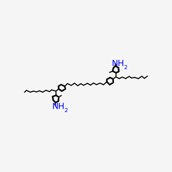 CCCCCCCCCCC(c1ccc(CCCCCCCCCCCCc2ccc(C(CCCCCCCCCC)c3ccc(N)cc3C)cc2)cc1)c1ccc(N)cc1C